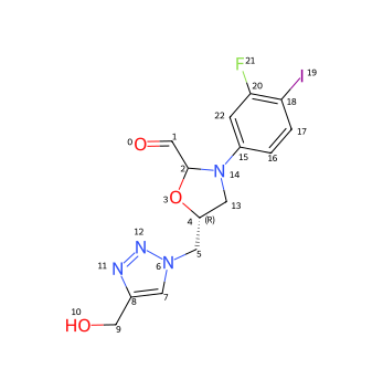 O=CC1O[C@@H](Cn2cc(CO)nn2)CN1c1ccc(I)c(F)c1